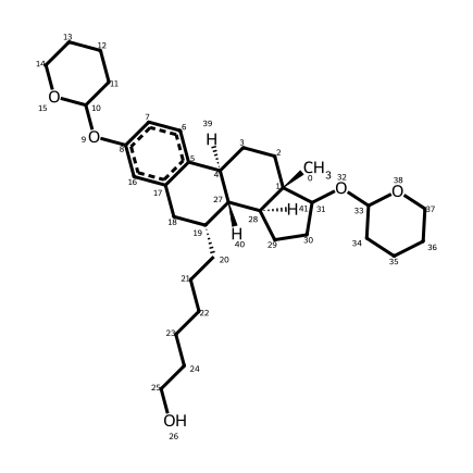 C[C@]12CC[C@@H]3c4ccc(OC5CCCCO5)cc4C[C@@H](CCCCCCO)[C@H]3[C@@H]1CCC2OC1CCCCO1